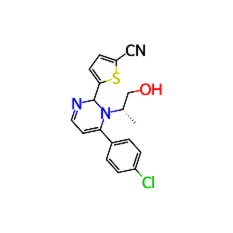 C[C@@H](CO)N1C(c2ccc(Cl)cc2)=CC=NC1c1ccc(C#N)s1